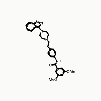 COc1cc(OC)cc(C(=O)Nc2ccc(CCN3CCN(c4nsc5ccccc45)CC3)cc2)c1